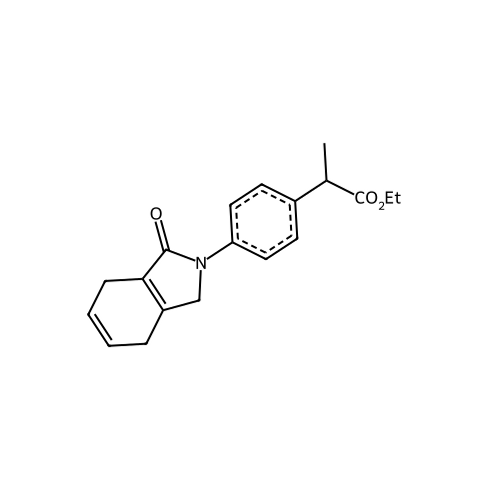 CCOC(=O)C(C)c1ccc(N2CC3=C(CC=CC3)C2=O)cc1